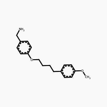 COc1ccc(CCCCOc2ccc(CN)cc2)cc1